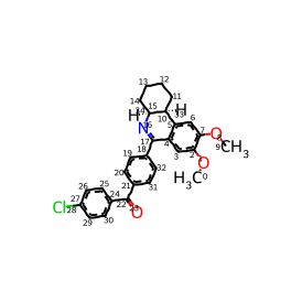 COc1cc2c(cc1OC)[C@@H]1CCCC[C@@H]1N=C2c1ccc(C(=O)c2ccc(Cl)cc2)cc1